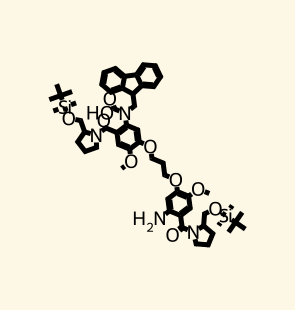 COc1cc(C(=O)N2CCCC2CO[Si](C)(C)C(C)(C)C)c(N)cc1OCCCOc1cc(N(CC2c3ccccc3-c3ccccc32)C(=O)O)c(C(=O)N2CCCC2CO[Si](C)(C)C(C)(C)C)cc1OC